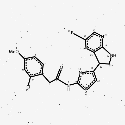 COc1ccc(CC(=O)Nc2nc(C3CNc4ncc(F)cc43)cs2)c(Cl)c1